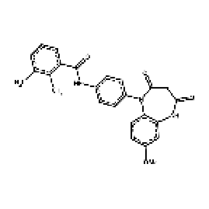 COc1ccc2c(c1)NC(=O)CC(=O)N2c1ccc(NC(=O)c2cccc(C)c2C)cc1